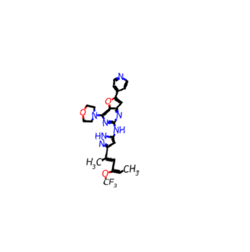 C/C=C(\C=C(/C)c1cc(Nc2nc(N3CCOCC3)c3oc(-c4ccncc4)cc3n2)[nH]n1)OC(F)(F)F